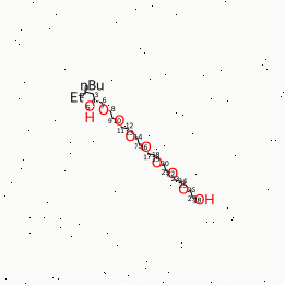 CCCCC(CC)CC(O)COCCOCCOCCOCCOCCOCCOCCO